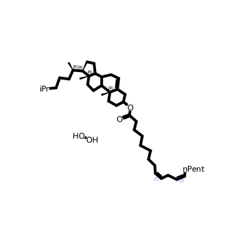 CCCCC/C=C\C/C=C\CCCCCCCC(=O)OC1CC[C@@]2(C)C(=CCC3C2CC[C@@]2(C)C3CC[C@@H]2[C@H](C)CCCC(C)C)C1.OO